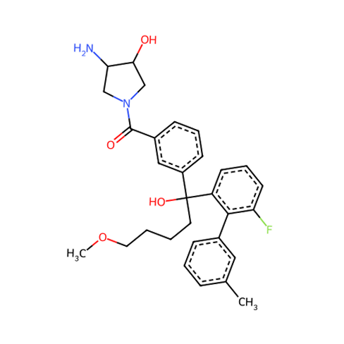 COCCCCC(O)(c1cccc(C(=O)N2CC(N)C(O)C2)c1)c1cccc(F)c1-c1cccc(C)c1